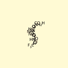 Nc1ncnc2c1c(-c1ccc(C(=O)Nc3cc(C(F)(F)F)ccn3)cc1)nn2C12CCC(NC(=O)O)(CC1)C2